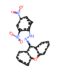 O=[N+]([O-])c1ccc(NN=c2c3ccccc3oc3ccccc23)c([N+](=O)[O-])c1